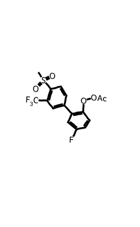 CC(=O)OOc1ccc(F)cc1-c1ccc(S(C)(=O)=O)c(C(F)(F)F)c1